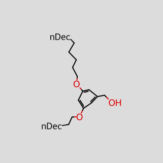 CCCCCCCCCCCCCCCOc1cc(CO)cc(OCCCCCCCCCCCC)c1